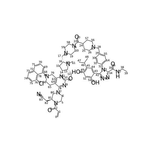 C=CC(=O)N1CCN(c2nc(OC[C@@H]3CC[C@H](CN4CCN(C(=O)C5CCN(Cc6ccc(-n7c(C(=O)NCC)nnc7-c7cc(C(C)C)c(O)cc7O)cc6)CC5)CC4)N3C)nc3c2CCN(c2cccc4cccc(Cl)c24)C3)C[C@@H]1CC#N